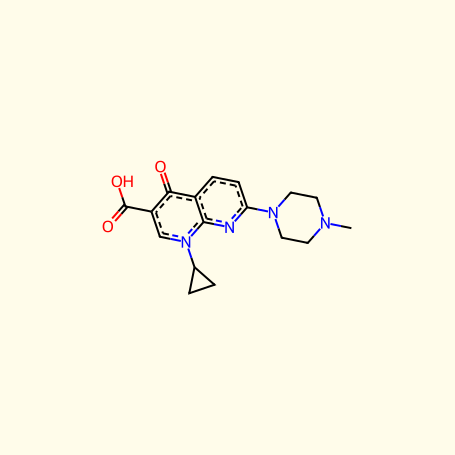 CN1CCN(c2ccc3c(=O)c(C(=O)O)cn(C4CC4)c3n2)CC1